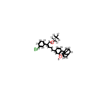 COc1cc(CCC=C(CO[Si](C)(C)C(C)(C)C)c2cccc(Br)c2)ccc1C12CC3CC(CC(C3)C1)C2